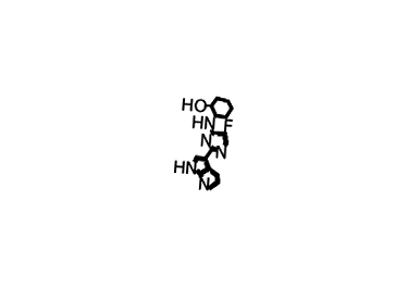 O[C@H]1CCCCC1Nc1nc(-c2c[nH]c3ncccc23)ncc1F